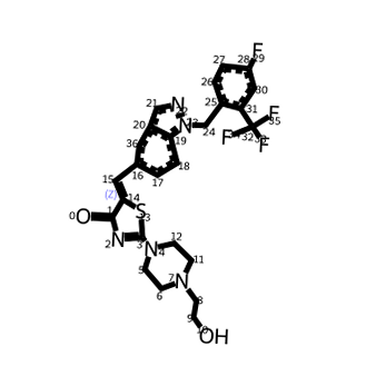 O=C1N=C(N2CCN(CCO)CC2)S/C1=C\c1ccc2c(cnn2Cc2ccc(F)cc2C(F)(F)F)c1